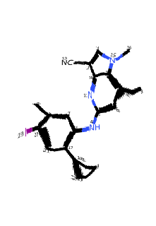 Cc1cc(Nc2cc(C)c3c(n2)c(C#N)cn3C)c(C2CC2)cc1I